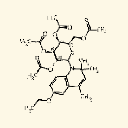 CCOc1ccc2c(c1)C(C)=CC(C)(C)N2C1O[C@H](COC(C)=O)[C@H](OC(C)=O)[C@H](OC(C)=O)[C@H]1OC(C)=O